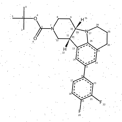 CC(C)(C)OC(=O)N1CC[C@H]2[C@@H](C1)c1cc(-c3ccc(F)c(F)c3)cc3c1N2CCC3